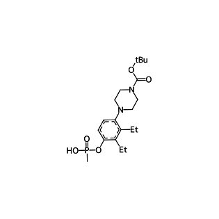 CCc1c(OP(C)(=O)O)ccc(N2CCN(C(=O)OC(C)(C)C)CC2)c1CC